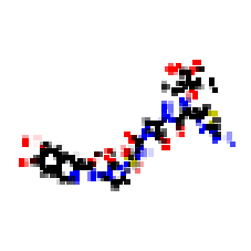 CC(C)(ON=C(C(=O)NC1CN(C(=O)NS(=O)(=O)N2CCN(NC(=O)c3cc4cc(O)c(O)cc4cn3)C2=O)C1=O)c1csc(N)n1)C(=O)O